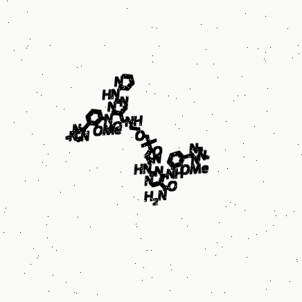 COc1c(Nc2nc(Nc3cc(C(C)(C)COCCNC(=O)c4cnc(Nc5ccccn5)nc4Nc4cccc(-c5ncn(C)n5)c4OC)on3)ncc2C(N)=O)cccc1-c1ncn(C)n1